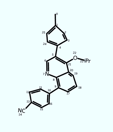 Cc1ccc(-c2cnc3c(-c4ccc(C#N)cc4)cccc3c2OC(C)C)cc1